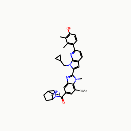 COc1cc(C(=O)N2CC3CCC2[C@@H]3N)cc2nc(-c3cc4ccc(-c5ccc(O)c(C)c5C)nc4n3CC3CC3)n(C)c12